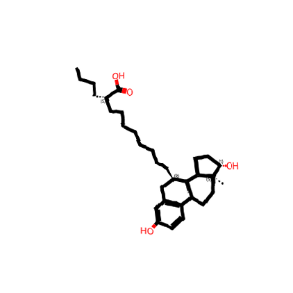 CCCC[C@@H](CCCCCCCC[C@@H]1Cc2cc(O)ccc2C2CC[C@@]3(C)C(CC[C@@H]3O)C21)C(=O)O